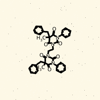 CC1(Cc2ccccc2)C(=O)N(CCN2C(=O)N(c3ccccc3)C(=O)C(C)(Cc3ccccc3)C2=O)C(=O)N(c2ccccc2)C1=O